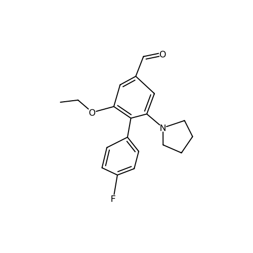 CCOc1cc(C=O)cc(N2CCCC2)c1-c1ccc(F)cc1